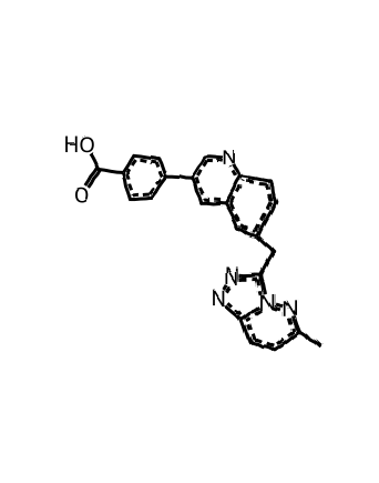 Cc1ccc2nnc(Cc3ccc4ncc(-c5ccc(C(=O)O)cc5)cc4c3)n2n1